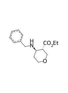 CCOC(=O)[C@@H]1COCC[C@H]1NCc1ccccc1